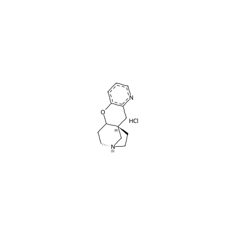 Cl.c1cnc2c(c1)OC1CC[N@@]3CC[C@@]1(C2)C3